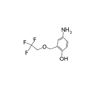 Nc1ccc(O)c(COCC(F)(F)F)c1